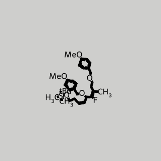 COc1ccc(COCC/C(C)=C(/F)C(/C=C\CCO[Si](C)(C)C(C)(C)C)OCc2ccc(OC)cc2)cc1